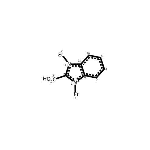 CCn1c(C(=O)O)[n+](CC)c2ccccc21